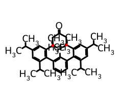 CC(C)c1cc(C(C)C)c(-c2cccc(-c3c(C(C)C)cc(C(C)C)cc3C(C)C)c2P2CCC(=O)CC2)c(C(C)C)c1